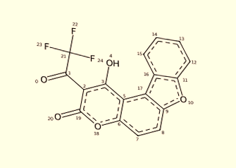 O=C(c1c(O)c2c(ccc3oc4ccccc4c32)oc1=O)C(F)(F)F